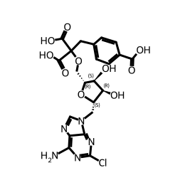 Nc1nc(Cl)nc2c1ncn2C[C@@H]1O[C@H](COC(Cc2ccc(C(=O)O)cc2)(C(=O)O)C(=O)O)[C@@H](O)[C@H]1O